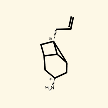 C=CC[C@]12CC3C[C@@H](N)CC1C32